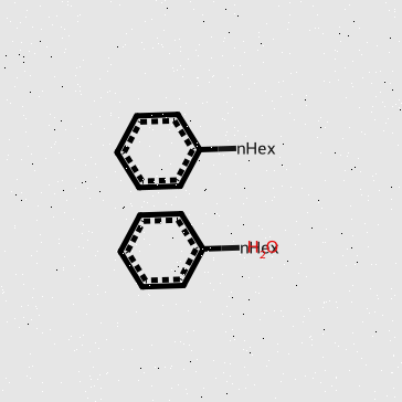 CCCCCCc1ccccc1.CCCCCCc1ccccc1.O